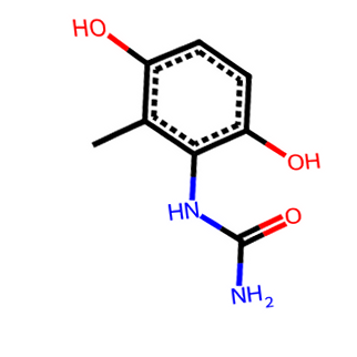 Cc1c(O)ccc(O)c1NC(N)=O